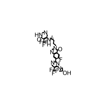 C[C@@H](CCCn1cnc2cc(-c3ncc(C(F)(F)F)c(N4CC(O)C4)n3)c(F)cc2c1=O)NC1=C(C(F)(F)F)C(=O)NCN=C1